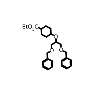 CCOC(=O)C1CCC(OC(COCc2ccccc2)COCc2ccccc2)CC1